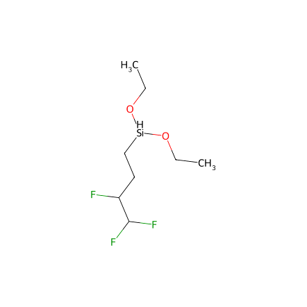 CCO[SiH](CCC(F)C(F)F)OCC